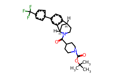 CC(C)(C)OC(=O)N1CCC(C(=O)N2CC[C@@H]3C[C@H]2c2cc(-c4ccc(C(F)(F)F)cc4)ccc23)CC1